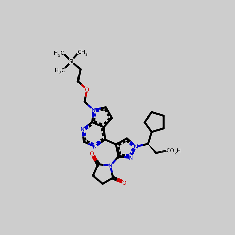 C[Si](C)(C)CCOCn1ccc2c(-c3cn([C@H](CC(=O)O)C4CCCC4)nc3N3C(=O)CCC3=O)ncnc21